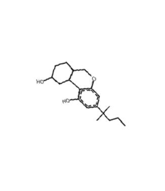 CCCC(C)(C)c1cc(O)c2c(c1)OCC1CCC(O)CC21